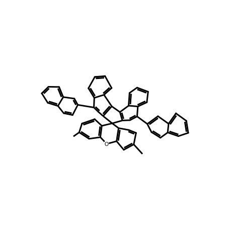 Cc1ccc2c(c1)Oc1cc(C)ccc1C21c2cc(-c3ccc4ccccc4c3)c3ccccc3c2-c2c1cc(-c1ccc3ccccc3c1)c1ccccc21